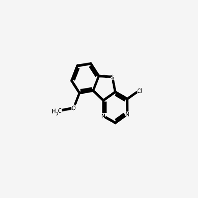 COc1cccc2sc3c(Cl)ncnc3c12